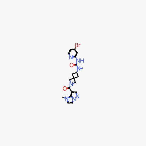 CN(C(=O)Nc1cc(Br)ccn1)C1CC2(C1)CN(C(=O)c1cnn3ccn(C)c13)C2